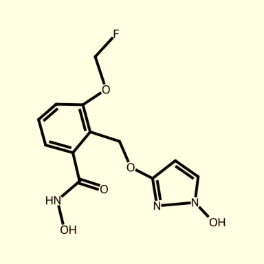 O=C(NO)c1cccc(OCF)c1COc1ccn(O)n1